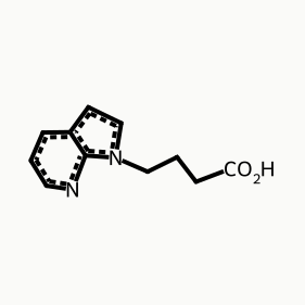 O=C(O)CCCn1ccc2cccnc21